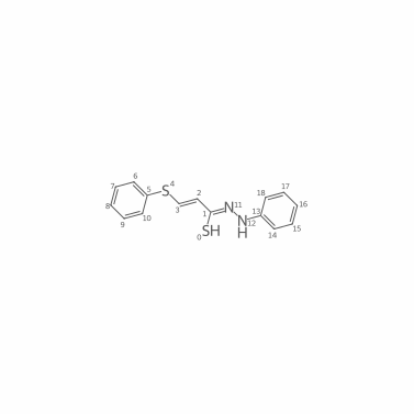 SC(C=CSc1ccccc1)=NNc1ccccc1